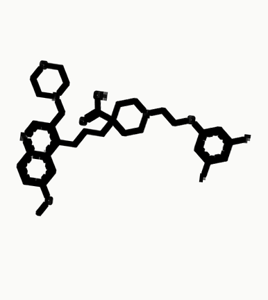 COc1ccc2ncc(CN3CCOCC3)c(CCCC3(C(=O)O)CCN(CCOc4cc(F)cc(F)c4)CC3)c2c1